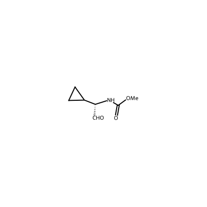 COC(=O)N[C@H](C=O)C1CC1